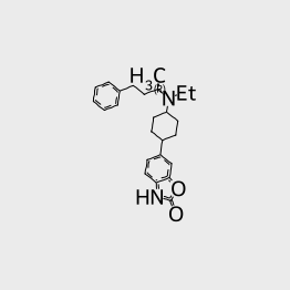 CCN(C1CCC(c2ccc3[nH]c(=O)oc3c2)CC1)[C@H](C)CCc1ccccc1